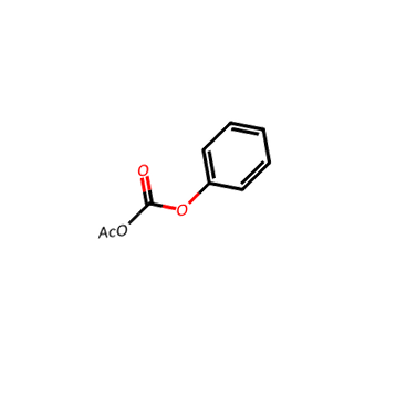 CC(=O)OC(=O)Oc1ccccc1